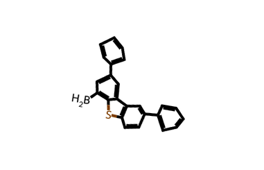 Bc1cc(-c2ccccc2)cc2c1sc1ccc(-c3ccccc3)cc12